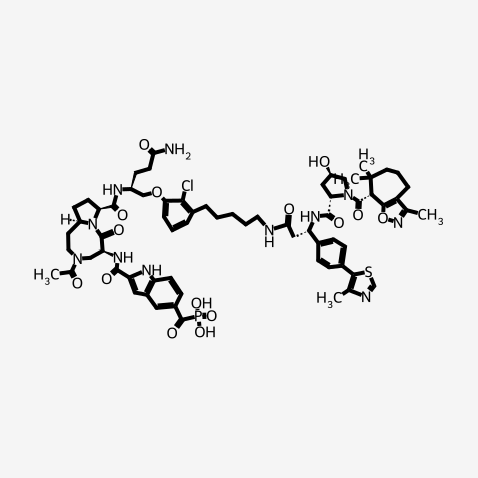 CC(=O)N1CC[C@H]2CC[C@@H](C(=O)N[C@@H](CCC(N)=O)COc3cccc(CCCCCNC(=O)C[C@H](NC(=O)[C@@H]4C[C@@H](O)CN4C(=O)[C@H]4c5onc(C)c5CCCC4(C)C)c4ccc(-c5scnc5C)cc4)c3Cl)N2C(=O)[C@@H](NC(=O)c2cc3cc(C(=O)P(=O)(O)O)ccc3[nH]2)C1